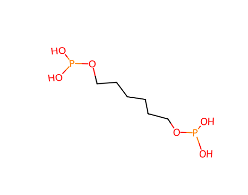 OP(O)OCCCCCCOP(O)O